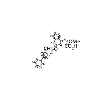 CO[C@@H](Cc1cc(OCCc2nc(-c3ccccc3)oc2C)cc2ccsc12)C(=O)O